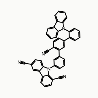 N#Cc1ccc2c(c1)c1cccc(C#N)c1n2-c1cccc(-c2cc(-c3ccccc3-n3c4ccccc4c4ccccc43)ccc2C#N)c1